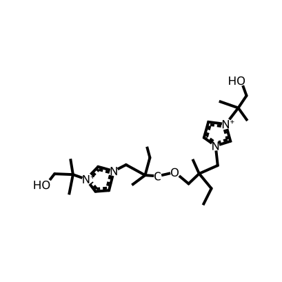 CCC(C)(COCC(C)(CC)Cn1cc[n+](C(C)(C)CO)c1)Cn1cc[n+](C(C)(C)CO)c1